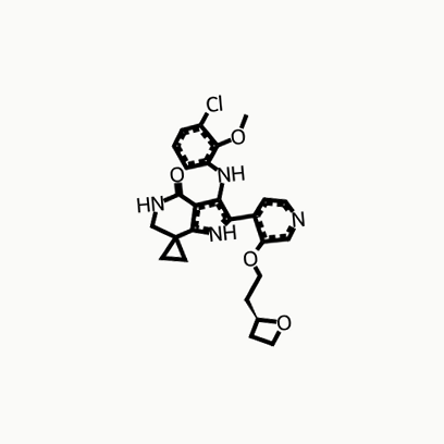 COc1c(Cl)cccc1Nc1c(-c2ccncc2OCC[C@@H]2CCO2)[nH]c2c1C(=O)NCC21CC1